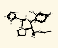 CCOC(=O)C1=C2CCCN2C(c2nccs2)=NC1c1ccc(F)cc1Br